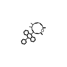 C=C1/C=C\C=C/C(C)C(C)/C=C(c2c3ccccc3c(-c3ccccc3)c3ccccc23)\C=C/C(=C)O1